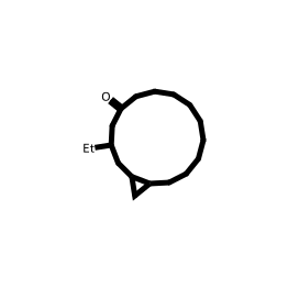 CCC1CC(=O)CCCCCCCCCC2CC2C1